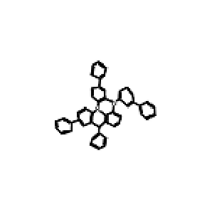 c1ccc(-c2cccc(N3c4cc(-c5ccccc5)ccc4B4c5ccc(-c6ccccc6)cc5C(c5ccccc5)c5cccc3c54)c2)cc1